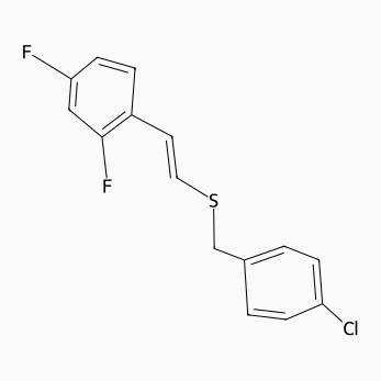 Fc1ccc(C=CSCc2ccc(Cl)cc2)c(F)c1